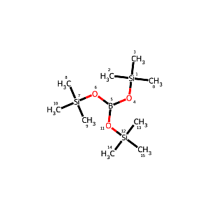 C[Si](C)(C)OB(O[Si](C)(C)C)O[Si](C)(C)C